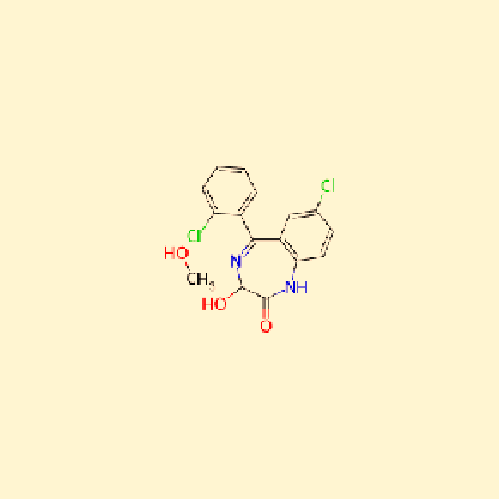 CO.O=C1Nc2ccc(Cl)cc2C(c2ccccc2Cl)=NC1O